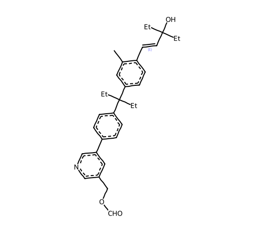 CCC(O)(/C=C/c1ccc(C(CC)(CC)c2ccc(-c3cncc(COC=O)c3)cc2)cc1C)CC